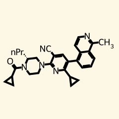 CCC[C@@H]1CN(c2nc(C3CC3)c(-c3cccc4c(C)nccc34)cc2C#N)CCN1C(=O)C1CC1